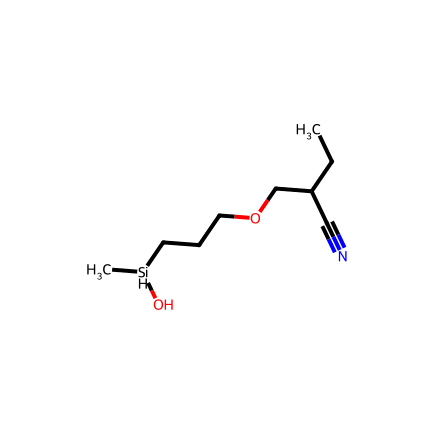 CCC(C#N)COCCC[SiH](C)O